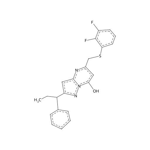 CCC(c1ccccc1)c1cc2nc(CSc3cccc(F)c3F)cc(O)n2n1